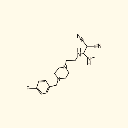 CNC(NCCN1CCN(Cc2ccc(F)cc2)CC1)C(C#N)C#N